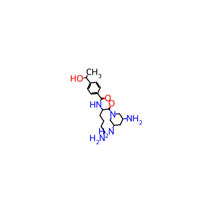 CC(O)c1ccc(C(=O)NC(CCCCN)C(=O)N2C[C@H](N)C[C@H](N)C2)cc1